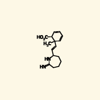 CC1(/C=C/C2CCCCC(=N)N2)C=CC=CC1C(=O)O